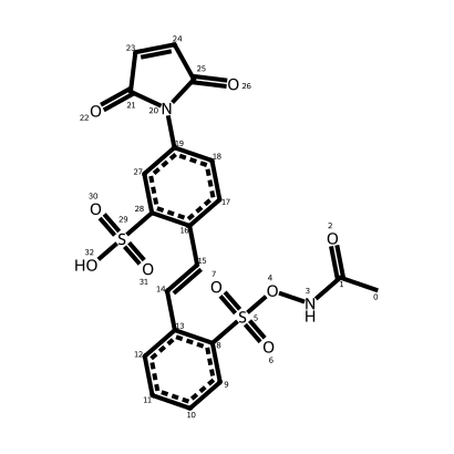 CC(=O)NOS(=O)(=O)c1ccccc1C=Cc1ccc(N2C(=O)C=CC2=O)cc1S(=O)(=O)O